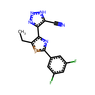 CCc1sc(-c2cc(F)cc(F)c2)nc1-c1nn[nH]c1C#N